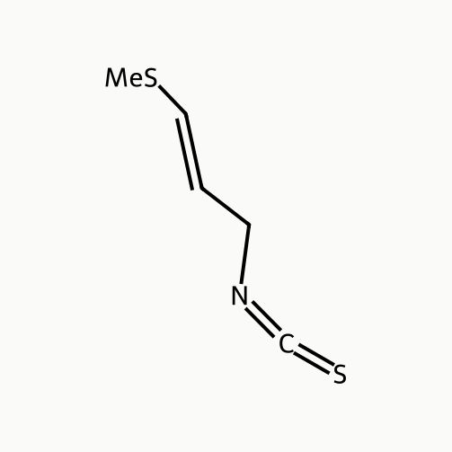 CSC=CCN=C=S